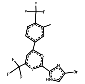 Cc1cc(-c2cc(C(F)(F)F)nc(-c3nc(Br)c[nH]3)n2)ccc1C(F)(F)F